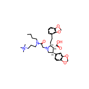 CCCCN(CCC[N+](C)(C)C)C(=O)CN1C[C@H](c2ccc3c(c2)OCO3)[C@@H](C(=O)O)[C@@H]1CCc1cccc2c1OCO2